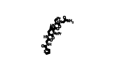 CCCN(CC(=O)N[C@@H](CC(C)C)C(=O)NCC(N)=O)C(=O)C(CC1CC1)NC(=O)CNC(=O)c1cccs1